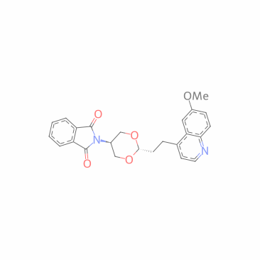 COc1ccc2nccc(CC[C@H]3OC[C@H](N4C(=O)c5ccccc5C4=O)CO3)c2c1